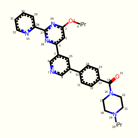 CC(C)Oc1cc(-c2cncc(-c3ccc(C(=O)N4CCN(C(C)C)CC4)cc3)c2)nc(-c2ccccn2)n1